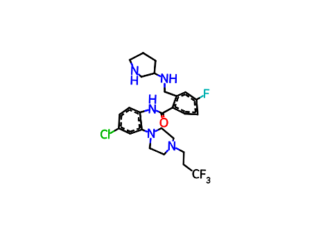 O=C(Nc1ccc(Cl)cc1N1CCN(CCC(F)(F)F)CC1)c1ccc(F)cc1CNC1CCCNC1